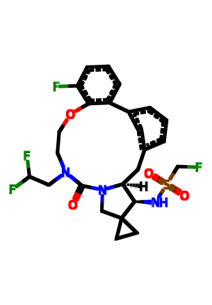 O=C1N(CC(F)F)CCOc2c(F)cccc2-c2cccc(c2)C[C@H]2[C@@H](NS(=O)(=O)CF)C3(CC3)CN12